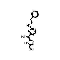 CC(C)(C)C1=CSC(=C(C#N)c2ccnc(NCCc3cccnc3)n2)N1